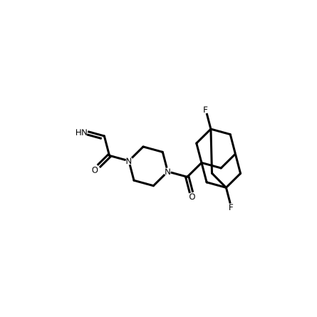 N=CC(=O)N1CCN(C(=O)C23CC4CC(F)(CC(F)(C4)C2)C3)CC1